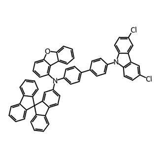 Clc1ccc2c(c1)c1cc(Cl)ccc1n2-c1ccc(-c2ccc(N(c3ccc4c(c3)C3(c5ccccc5-c5ccccc53)c3ccccc3-4)c3cccc4oc5ccccc5c34)cc2)cc1